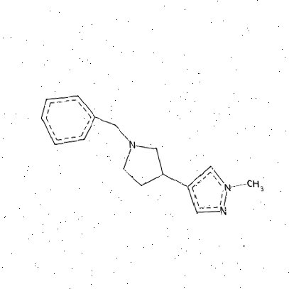 Cn1cc(C2CCN(Cc3ccccc3)C2)cn1